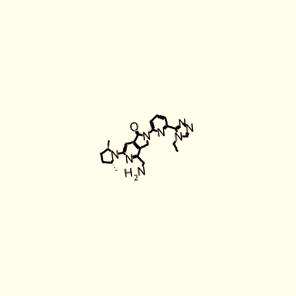 CCn1cnnc1-c1cccc(N2Cc3c(cc(N4[C@H](C)CC[C@H]4C)nc3CN)C2=O)n1